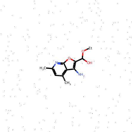 CCOC(O)c1oc2nc(C)cc(C)c2c1N